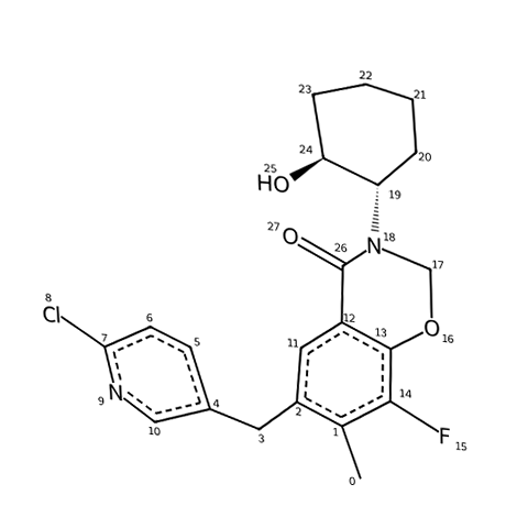 Cc1c(Cc2ccc(Cl)nc2)cc2c(c1F)OCN([C@H]1CCCC[C@@H]1O)C2=O